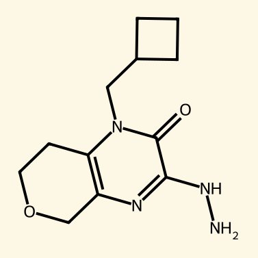 NNc1nc2c(n(CC3CCC3)c1=O)CCOC2